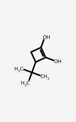 CC(C)(C)C1CC(O)=C1O